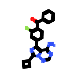 Nc1ncnn2c(C3=CC=C3)nc(-c3ccc(C(=O)c4ccccc4)c(F)c3)c12